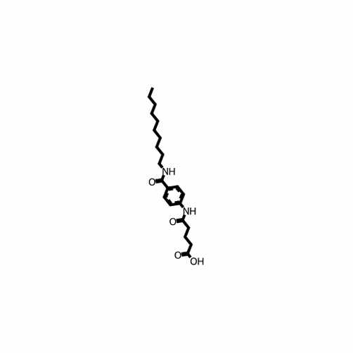 CCCCCCCCCCNC(=O)c1ccc(NC(=O)CCCC(=O)O)cc1